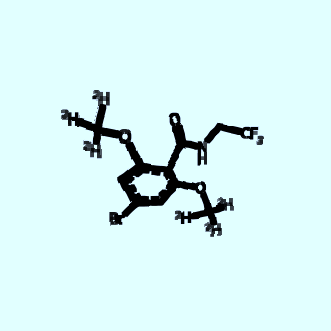 [2H]C([2H])([2H])Oc1cc(Br)cc(OC([2H])([2H])[2H])c1C(=O)NCC(F)(F)F